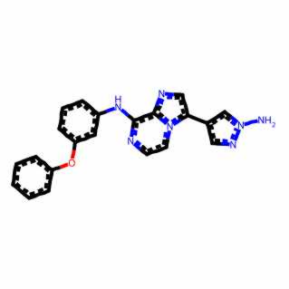 Nn1cc(-c2cnc3c(Nc4cccc(Oc5ccccc5)c4)nccn23)cn1